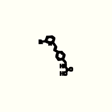 O=C(O)NCc1ccc(/C=C/c2cccc(Br)n2)cc1